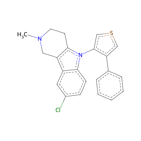 CN1CCc2c(c3cc(Cl)ccc3n2-c2cscc2-c2ccccc2)C1